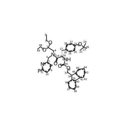 CCOC(CN(Cc1cccc(F)n1)C(=O)[C@H](Cc1ccc(OC(C)(C)C)cc1)NC(=O)OCC1c2ccccc2-c2ccccc21)OCC